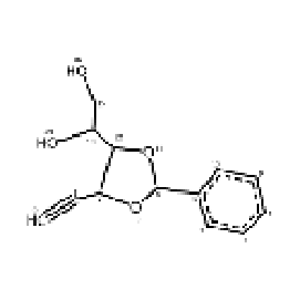 C#CC1OC(c2ccccc2)OC1C(O)CO